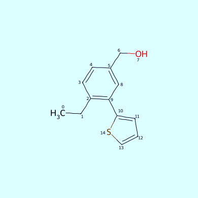 CCc1ccc(CO)cc1-c1cccs1